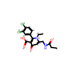 CCC(=O)NCc1cc(=O)c(C(=O)O)c(-c2ccc(Cl)c(Cl)c2)n1CC